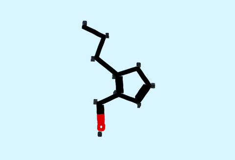 CCCC1=C(C=O)C=CC1